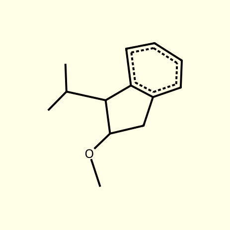 COC1Cc2ccccc2C1C(C)C